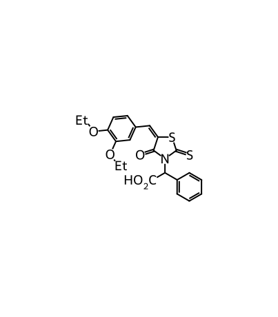 CCOc1ccc(C=C2SC(=S)N(C(C(=O)O)c3ccccc3)C2=O)cc1OCC